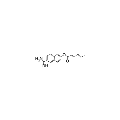 CC=CC=CC(=O)Oc1ccc2cc(C(=N)N)ccc2c1